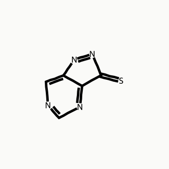 S=C1N=Nc2cncnc21